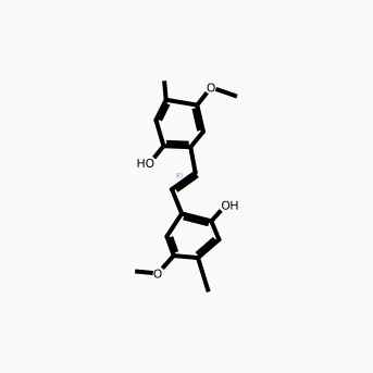 COc1cc(/C=C/c2cc(OC)c(C)cc2O)c(O)cc1C